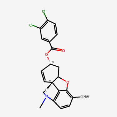 COc1ccc2c3c1OC1C[C@@H](OC(=O)c4ccc(Cl)c(Cl)c4)C=C[C@@]31CCN2C